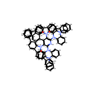 c1ccc(-c2ccc3c4ccc(-c5ccccc5)cc4n(-c4c(N5c6ccccc6N(c6ccccc6)c6ccccc65)nc(N5c6ccccc6N(c6ccccc6)c6ccccc65)c(-n5c6cc(-c7ccccc7)ccc6c6ccc(-c7ccccc7)cc65)c4-c4cccc5ccccc45)c3c2)cc1